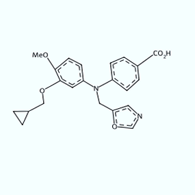 COc1ccc(N(Cc2cnco2)c2ccc(C(=O)O)cc2)cc1OCC1CC1